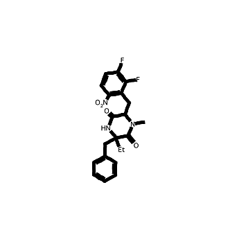 CCC1(Cc2ccccc2)NC(=O)C(Cc2c([N+](=O)[O-])ccc(F)c2F)N(C)C1=O